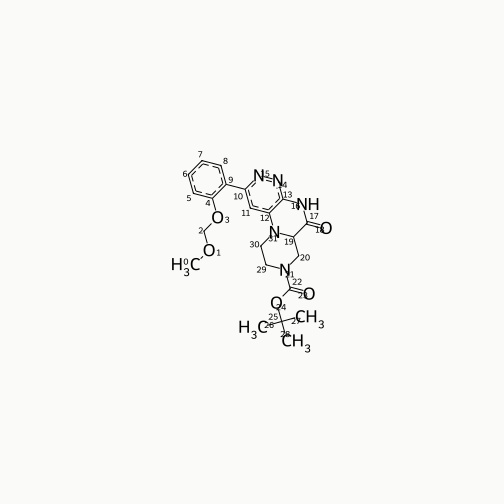 COCOc1ccccc1-c1cc2c(nn1)NC(=O)C1CN(C(=O)OC(C)(C)C)CCN21